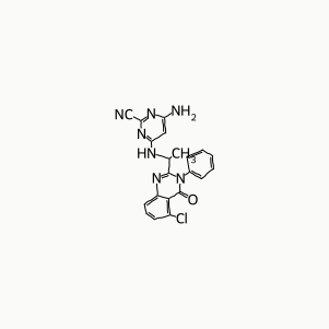 CC(Nc1cc(N)nc(C#N)n1)c1nc2cccc(Cl)c2c(=O)n1-c1ccccc1